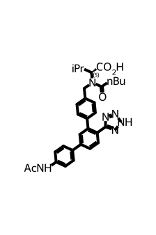 CCCCC(=O)N(Cc1ccc(-c2cc(-c3ccc(NC(C)=O)cc3)ccc2-c2nn[nH]n2)cc1)[C@H](C(=O)O)C(C)C